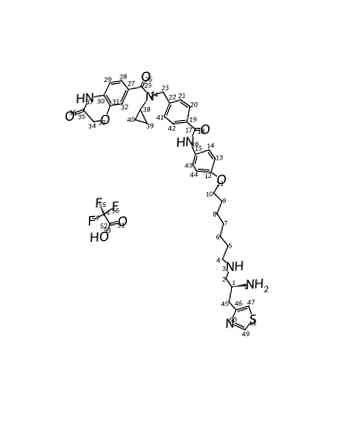 N[C@H](CNCCCCCCCOc1ccc(NC(=O)c2ccc(CN(C(=O)c3ccc4c(c3)OCC(=O)N4)C3CC3)cc2)cc1)Cc1cscn1.O=C(O)C(F)(F)F